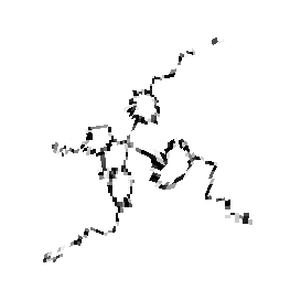 CCCCc1ccc([Si](C2=C(C)C(C)=CC2)(c2ccc(CCCC)cc2)c2ccc(CCCC)cc2)cc1